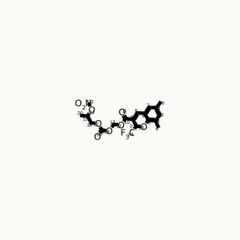 Cc1cc(C)c2c(c1)C=C(C(=O)OCOC(=O)OCC(C)O[N+](=O)[O-])C(C(F)(F)F)O2